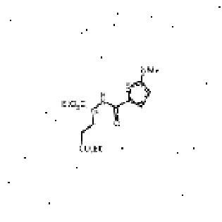 CCOC(=O)CC[C@@H](NC(=O)c1ccc(NC)s1)C(=O)OCC